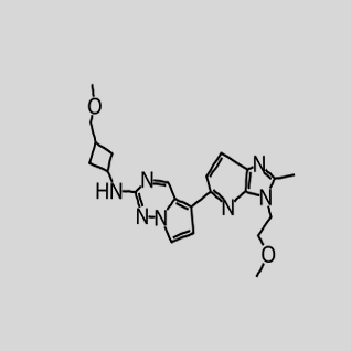 COCCn1c(C)nc2ccc(-c3ccn4nc(NC5CC(COC)C5)ncc34)nc21